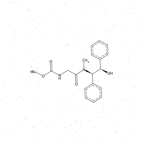 CN(C(=O)CNC(=O)OC(C)(C)C)[C@H](c1ccccc1)[C@H](O)c1ccccc1